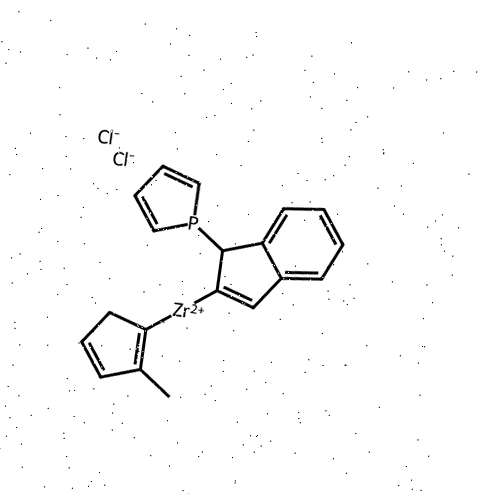 CC1=[C]([Zr+2][C]2=Cc3ccccc3C2p2cccc2)CC=C1.[Cl-].[Cl-]